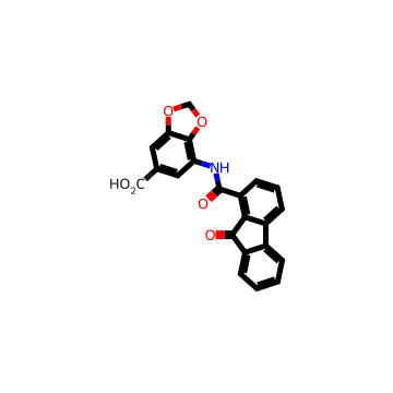 O=C(O)c1cc(NC(=O)c2cccc3c2C(=O)c2ccccc2-3)c2c(c1)OCO2